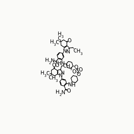 CCc1nn(-c2ccc(C(N)=O)c(N[C@H]3CC[C@H](OS(=O)(=O)O[C@H]4CC[C@H](Nc5cc(-n6nc(CC)c7c6CC(C)(C)CC7=O)ccc5C(N)=O)CC4)CC3)c2)c2c1C(=O)CC(C)(C)C2